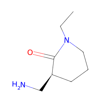 CCN1CCC[C@@H](CN)C1=O